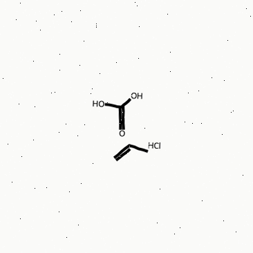 C=CC.Cl.O=C(O)O